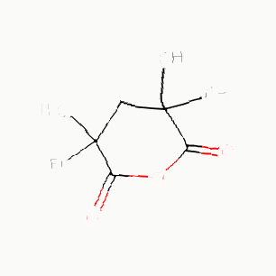 CCC1(C)CC(C)(C)C(=O)OC1=O